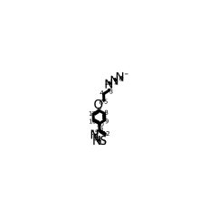 [N-]=[N+]=NCCCOc1ccc(-c2csnn2)cc1